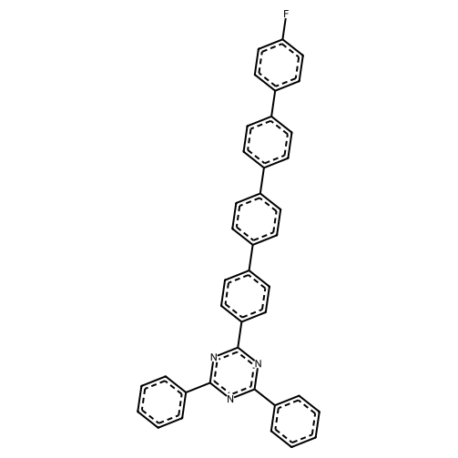 Fc1ccc(-c2ccc(-c3ccc(-c4ccc(-c5nc(-c6ccccc6)nc(-c6ccccc6)n5)cc4)cc3)cc2)cc1